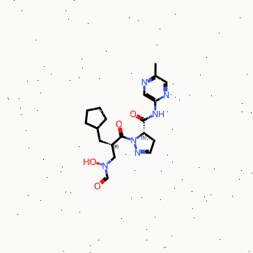 Cc1cnc(NC(=O)[C@@H]2CC=NN2C(=O)[C@H](CC2CCCC2)CN(O)C=O)cn1